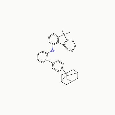 CC1(C)c2ccccc2-c2c(Nc3ccccc3-c3ccc(C45CC6CC(CC(C6)C4)C5)cc3)cccc21